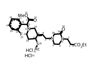 CCOC(=O)CCN1CCN(CC=C2CN(C(C(=O)OC)c3ccccc3F)CCC2SC(C)=O)CC1=O.Cl.Cl